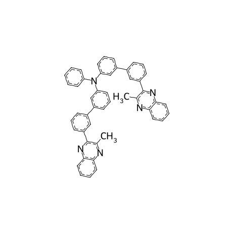 Cc1nc2ccccc2nc1-c1cccc(-c2cccc(N(c3ccccc3)c3cccc(-c4cccc(-c5nc6ccccc6nc5C)c4)c3)c2)c1